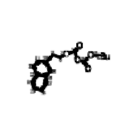 CC(C)(C)OC(=O)OC(=O)CCCc1ccc2ccccc2c1